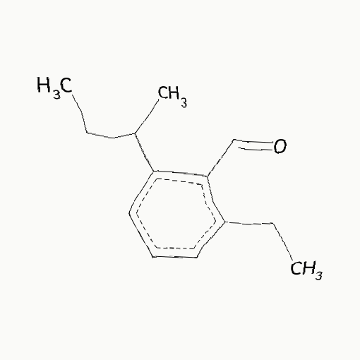 CCc1cccc(C(C)CC)c1C=O